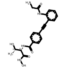 C[C@H](O)[C@H](NC(=O)c1ccc(C#Cc2ccccc2NC(=O)CN)cc1)C(=O)NO